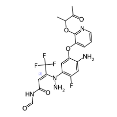 CC(=O)C(C)Oc1ncccc1Oc1cc(N(N)/C(=C\C(=O)NC=O)C(F)(F)F)c(F)cc1N